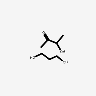 CC(=O)C(C)O.OCCCO